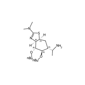 CCCCO[C@@H]1[C@H]2N=C(N(C)C)S[C@H]2C[C@H](C(C)N)[C@H]1OCCCC